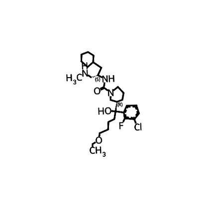 CCOCCCCC(O)(c1cccc(Cl)c1F)[C@@H]1CCCN(C(=O)N[C@H](CNC)CC2CCCCC2)C1